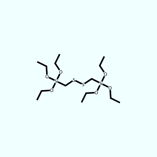 CCO[Si](CSSC[Si](OCC)(OCC)OCC)(OCC)OCC